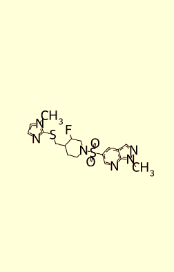 Cn1ccnc1SCC1CCN(S(=O)(=O)c2cnc3c(cnn3C)c2)CC1F